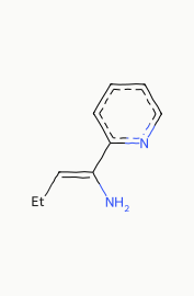 CCC=C(N)c1ccccn1